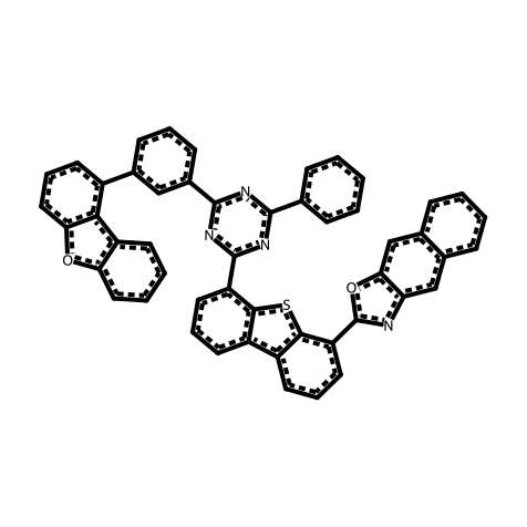 c1ccc(-c2nc(-c3cccc(-c4cccc5oc6ccccc6c45)c3)nc(-c3cccc4c3sc3c(-c5nc6cc7ccccc7cc6o5)cccc34)n2)cc1